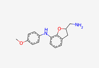 COc1ccc(Nc2cccc3c2OC(CN)C3)cc1